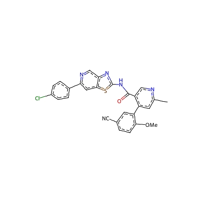 COc1ccc(C#N)cc1-c1cc(C)ncc1C(=O)Nc1nc2cnc(-c3ccc(Cl)cc3)cc2s1